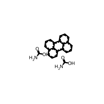 NC(=O)O.NC(=O)O.c1cc2cccc3c4cccc5cccc(c(c1)c23)c54